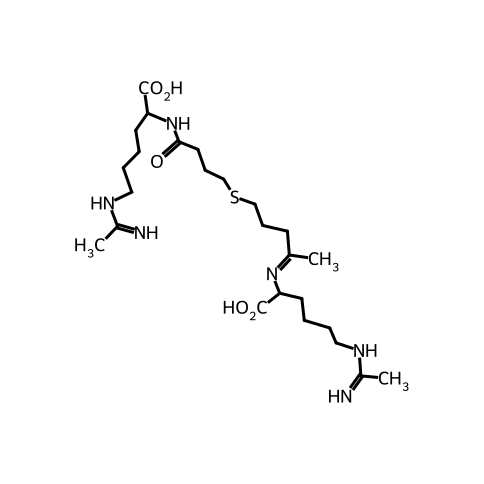 CC(=N)NCCCCC(N=C(C)CCCSCCCC(=O)NC(CCCCNC(C)=N)C(=O)O)C(=O)O